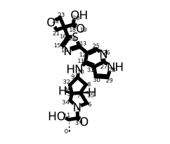 C[C@H](O)C(=O)N1C[C@H]2CC(Nc3c(-c4ncc(C5(C(=O)O)COC5)s4)cnc4[nH]ccc34)C[C@H]2C1